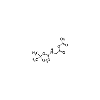 CC(C)(C)OC(=O)NCC(=O)OC(=O)O